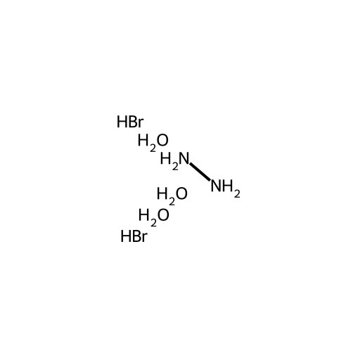 Br.Br.NN.O.O.O